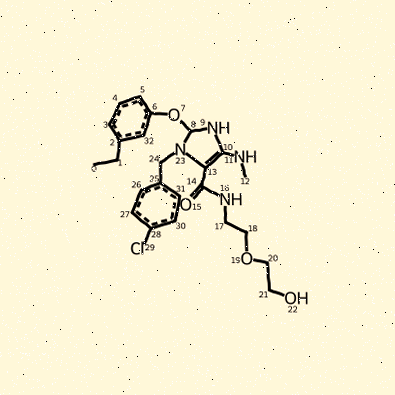 CCc1cccc(OC2NC(NC)=C(C(=O)NCCOCCO)N2Cc2ccc(Cl)cc2)c1